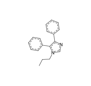 CCCn1cnc(-c2ccccc2)c1-c1ccccc1